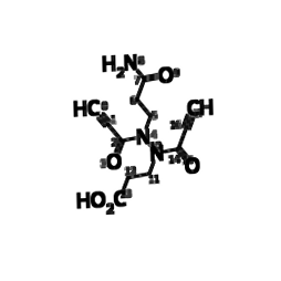 C#CC(=O)N(CCC(N)=O)N(CCC(=O)O)C(=O)C#C